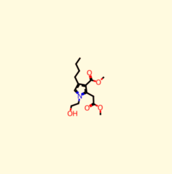 CCCCc1cn(CCO)c(CC(=O)OC)c1C(=O)OC